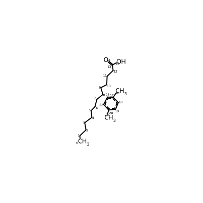 CCCCCCCCCCCCCC(=O)O.Cc1ccc(C)cc1